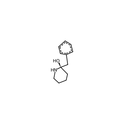 O[C@@]1(Cc2ccccc2)CCCCN1